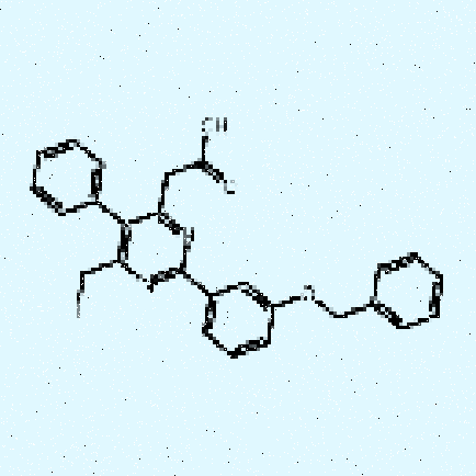 O=C(O)Cc1nc(-c2cccc(OCc3ccccc3)c2)nc(CI)c1-c1ccccc1